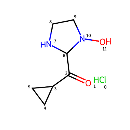 Cl.O=C(C1CC1)C1NCCN1O